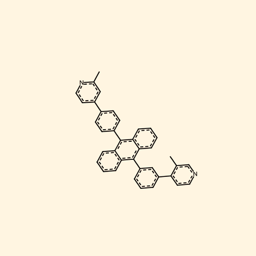 Cc1cc(-c2ccc(-c3c4ccccc4c(-c4cccc(-c5ccncc5C)c4)c4ccccc34)cc2)ccn1